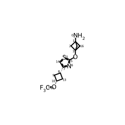 NC12CC(Oc3nc([C@H]4C[C@@H](OC(F)(F)F)C4)cs3)(C1)C2